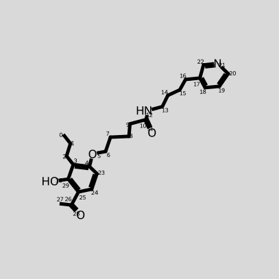 CCCc1c(OCCCCC(=O)NCCCCc2cccnc2)ccc(C(C)=O)c1O